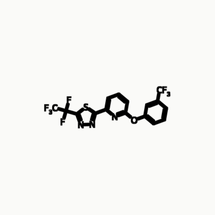 FC(F)(F)c1cccc(Oc2cccc(-c3nnc(C(F)(F)C(F)(F)F)s3)n2)c1